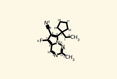 CCC1(c2c(C#N)c(F)c3cnc(C)nn23)CCCC1